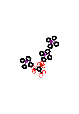 O=C([O-])c1cc(C(=O)[O-])cc(S(=O)(=O)[O-])c1.c1ccc([P+](c2ccccc2)(c2ccccc2)c2ccccc2)cc1.c1ccc([P+](c2ccccc2)(c2ccccc2)c2ccccc2)cc1.c1ccc([P+](c2ccccc2)(c2ccccc2)c2ccccc2)cc1